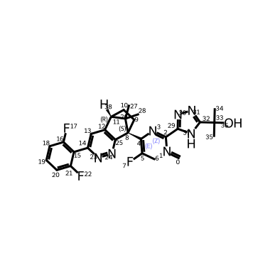 C=N/C(=N\C(=C(/C)F)[C@@]12CC[C@@H](c3cc(-c4c(F)cccc4F)nnc31)C2(C)C)c1nnc(C(C)(C)O)[nH]1